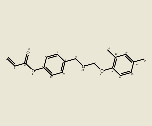 C=CC(=O)Oc1ccc(COCOc2ccc(C)cc2C)cc1